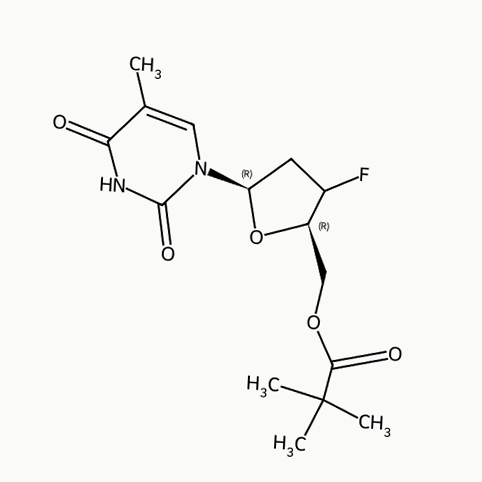 Cc1cn([C@H]2CC(F)[C@@H](COC(=O)C(C)(C)C)O2)c(=O)[nH]c1=O